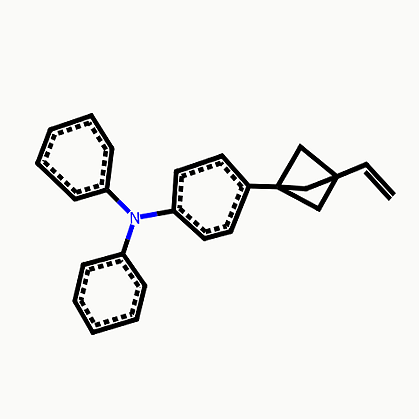 C=CC12CC(c3ccc(N(c4ccccc4)c4ccccc4)cc3)(C1)C2